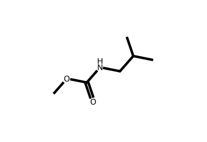 COC(=O)NCC(C)C